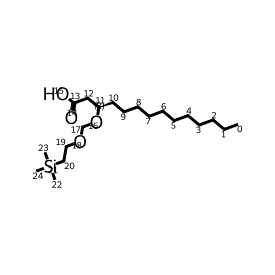 CCCCCCCCCCC[C@H](CC(=O)O)OCOCC[Si](C)(C)C